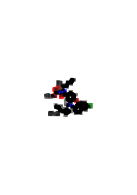 C=CCC[C@@H](CC)S(=O)(=NC(=O)c1ccc2c(c1)N(C[C@@H]1CC[C@H]1[C@H](C=C)OC)C[C@@]1(CCCc3cc(Cl)ccc31)CO2)NC(=O)OC(C)(C)C